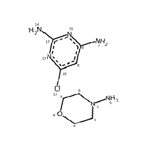 NN1CCOCC1.Nc1cc(Cl)nc(N)n1